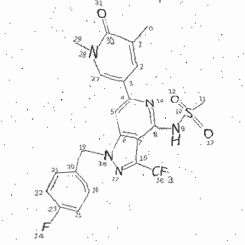 Cc1cc(-c2cc3c(c(NS(C)(=O)=O)n2)c(C(F)(F)F)nn3Cc2ccc(F)cc2)cn(C)c1=O